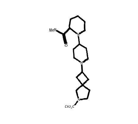 CCOC(=O)N1CCC2(CC(N3CCC(N4CCCCC4C(=O)NC)CC3)C2)C1